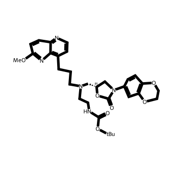 COc1ccc2nccc(CCCN(CCNC(=O)OC(C)(C)C)C[C@@H]3CN(c4ccc5c(c4)OCCO5)C(=O)O3)c2n1